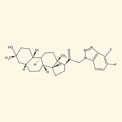 CC[C@]12CC[C@@](C)(O)C[C@H]1CC[C@H]1[C@H]3CC[C@H](C(=O)Cn4nnc5c(F)c(F)ccc54)[C@@]3(C)CC[C@@H]12